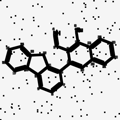 CC(C)(C)c1c(C=N)c(-c2cccc3c2Cc2ccccc2-3)cc2ccccc12